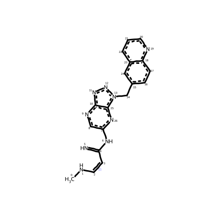 CN/C=C\C(=N)Nc1cnc2nnn(Cc3ccc4ncccc4c3)c2n1